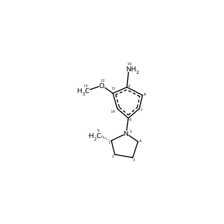 [CH2][C@H]1CCCN1c1ccc(N)c(OC)c1